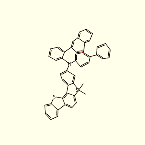 C[Si]1(C)c2cc(N(c3ccc(-c4ccccc4)cc3)c3ccccc3-c3ccc4ccccc4c3)ccc2-c2c1ccc1c2sc2ccccc21